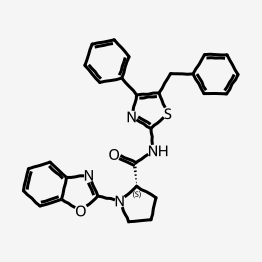 O=C(Nc1nc(-c2ccccc2)c(Cc2ccccc2)s1)[C@@H]1CCCN1c1nc2ccccc2o1